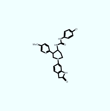 COc1ccc(C2CN(c3ccc4c(c3)NC(=O)C4)CCC2NC(=O)Nc2ccc(Cl)cc2)nc1